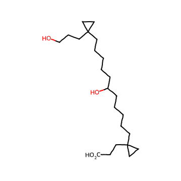 O=C(O)CCC1(CCCCCC(O)CCCCCC2(CCCO)CC2)CC1